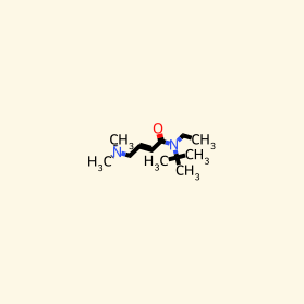 CCN(C(=O)/C=C/CN(C)C)C(C)(C)C